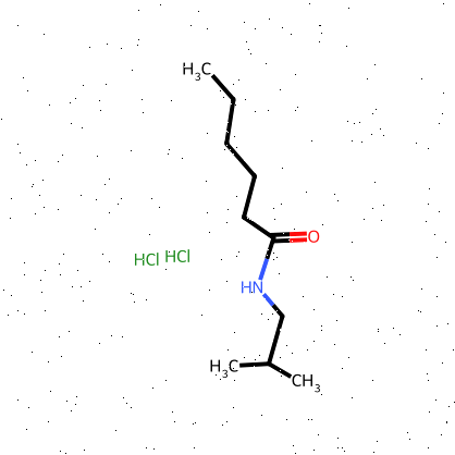 CCCCCC(=O)NCC(C)C.Cl.Cl